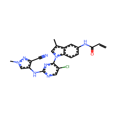 C=CC(=O)Nc1ccc2c(c1)c(C)cn2-c1nc(Nc2cn(C)nc2C#N)ncc1Cl